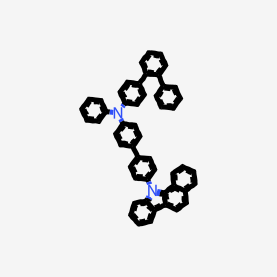 c1ccc(-c2ccccc2-c2ccc(N(c3ccccc3)c3ccc(-c4ccc(-n5c6ccccc6c6ccc7ccccc7c65)cc4)cc3)cc2)cc1